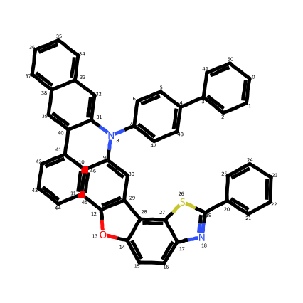 c1ccc(-c2ccc(N(c3ccc4oc5ccc6nc(-c7ccccc7)sc6c5c4c3)c3cc4ccccc4cc3-c3ccccc3)cc2)cc1